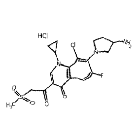 CS(=O)(=O)CC(=O)c1cn(C2CC2)c2c(Cl)c(N3CCC(N)C3)c(F)cc2c1=O.Cl